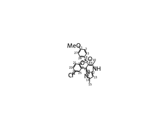 COc1ccc(S(=O)(=O)C2=C(C)Nc3cc(C)nn3C2c2cccc(Cl)c2)cc1